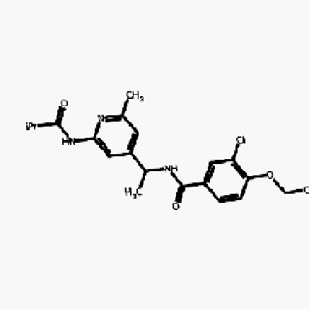 Cc1cc(C(C)NC(=O)c2ccc(OCC(F)(F)F)c(Cl)c2)cc(NC(=O)C(C)C)n1